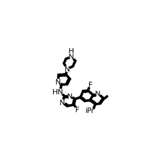 Cc1cc(C(C)C)c2cc(-c3nc(Nc4ccc(N5CCNCC5)cn4)ncc3F)cc(F)c2n1